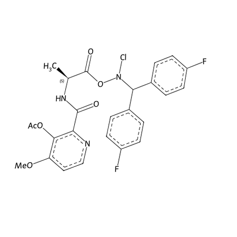 COc1ccnc(C(=O)N[C@@H](C)C(=O)ON(Cl)C(c2ccc(F)cc2)c2ccc(F)cc2)c1OC(C)=O